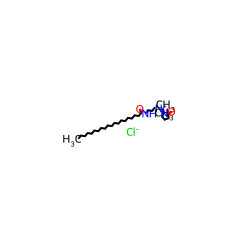 CCCCCCCCCCCCCCCCCCCC(=O)NCCC[N+](C)(C)CN1CCCC1=O.[Cl-]